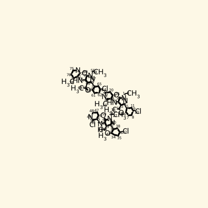 CCn1nc(-c2cccc(Cl)c2)c(C(C)=O)c(Nc2cccnc2C)c1=O.CCn1nc(-c2cccc(Cl)c2)c(C(C)=O)c(Nc2cccnc2Cl)c1=O.CCn1nc(-c2cccc(Cl)c2)c(C(C)=O)c(Nc2cnccc2C)c1=O